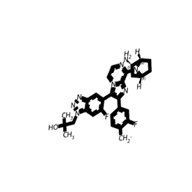 [CH2]c1ccc(-c2nc3c(N4[C@@H]5CC[C@H]4[C@@H](N)C5)nccn3c2-c2cc3nnn(CC(C)(C)O)c3cc2F)cc1F